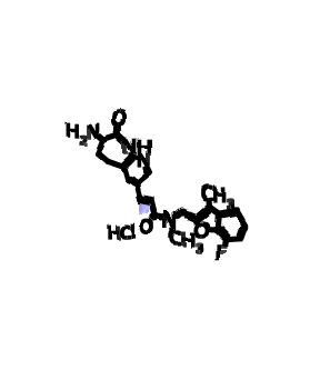 Cc1c(CN(C)C(=O)/C=C/c2cnc3c(c2)CCC(N)C(=O)N3)oc2c(F)cccc12.Cl